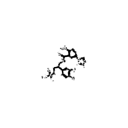 COc1ccc(-n2cnnn2)cc1C(=O)NCC(CCS(C)(=O)=O)c1ccc(Cl)c(Cl)c1